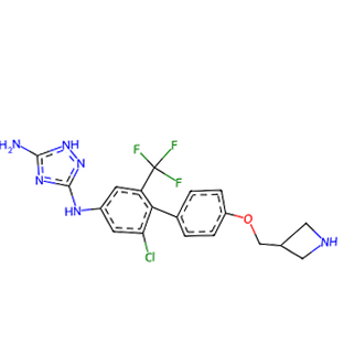 Nc1nc(Nc2cc(Cl)c(-c3ccc(OCC4CNC4)cc3)c(C(F)(F)F)c2)n[nH]1